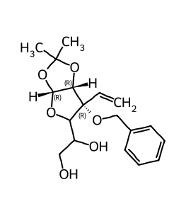 C=C[C@@]1(OCc2ccccc2)C(C(O)CO)O[C@@H]2OC(C)(C)O[C@@H]21